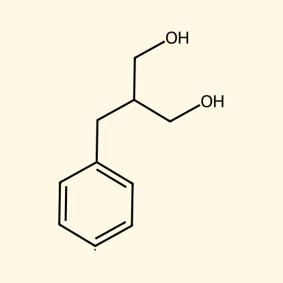 OCC(CO)Cc1cc[c]cc1